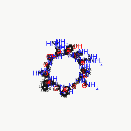 CCC1NC(=O)C(Cc2ccccc2)NC(=O)CSCC(C(=O)NCC(N)=O)NC(=O)C(Cc2cncn2C)NC(=O)C(CCCNC(=N)N)NC(=O)C(Cc2c[nH]cn2)NC(=O)C(Cc2ccc(O)cc2)NC(=O)C(CCCNC(=N)N)NC(=O)C(CO)NC(=O)CNC(=O)C(Cc2c[nH]cn2)NC(=O)C(Cc2cccc3ccccc23)NC1=O